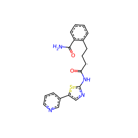 NC(=O)c1ccccc1CC[CH]C(=O)Nc1ncc(-c2cccnc2)s1